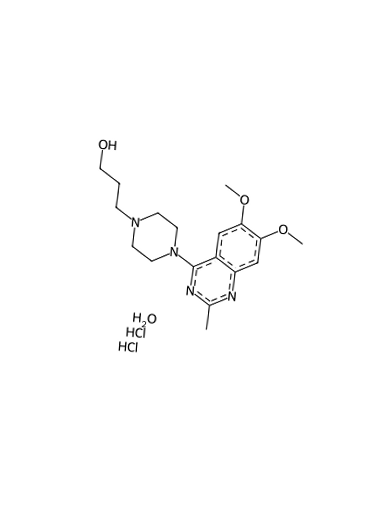 COc1cc2nc(C)nc(N3CCN(CCCO)CC3)c2cc1OC.Cl.Cl.O